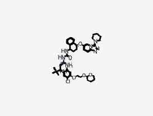 CC(C)(C)C(=N)/C=C(/NC(=O)NC1CC[C@@H](Oc2ccc3nnc(N4CCCCC4)n3c2)c2ccccc21)Nc1ccc(Cl)c(OCCOC2CCCCO2)c1